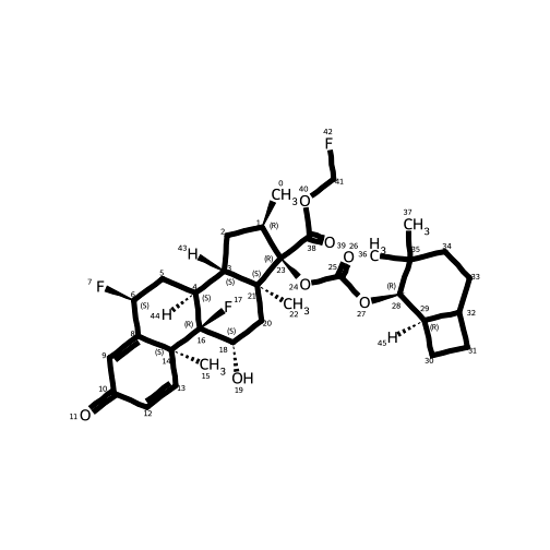 C[C@@H]1C[C@H]2[C@@H]3C[C@H](F)C4=CC(=O)C=C[C@]4(C)[C@@]3(F)[C@@H](O)C[C@]2(C)[C@@]1(OC(=O)O[C@@H]1[C@@H]2CCC2CCC1(C)C)C(=O)OCF